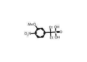 CCC(CC)(c1ccc([N+](=O)[O-])c(OC)c1)P(=O)(O)O